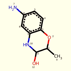 CC1Oc2ccc(N)cc2NC1O